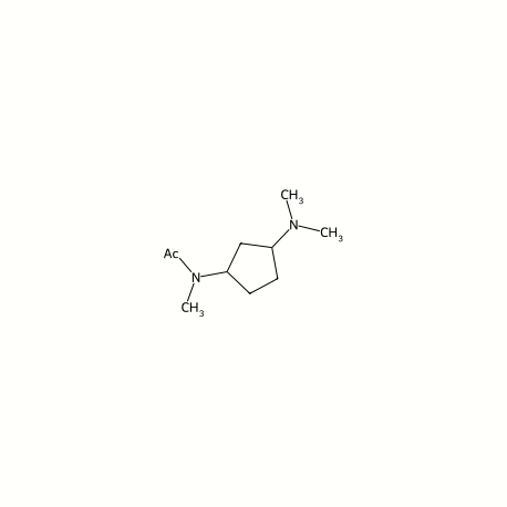 CC(=O)N(C)C1CCC(N(C)C)C1